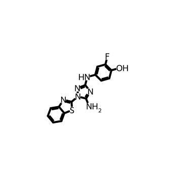 Nc1nc(Nc2ccc(O)c(F)c2)nn1-c1nc2ccccc2s1